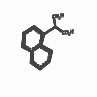 O=C(O)C(C(=O)O)c1cccc2ccccc12